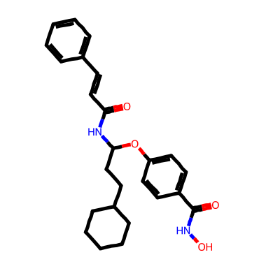 O=C(/C=C/c1ccccc1)NC(CCC1CCCCC1)Oc1ccc(C(=O)NO)cc1